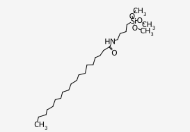 CCCCCCCCCCCCCCCCCCC(=O)NCCCC[Si](OC)(OC)OC